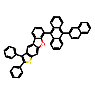 c1ccc(-c2sc3cc4oc5c(-c6c7ccccc7c(-c7ccc8ccccc8c7)c7ccccc67)cccc5c4cc3c2-c2ccccc2)cc1